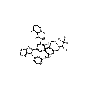 O=C(Nc1cc(-c2nn3ccccc3c2-c2ccnc(Nc3ccc4c(c3)CN(C(=O)C(F)(F)F)CC4)n2)ccc1F)c1c(F)cccc1F